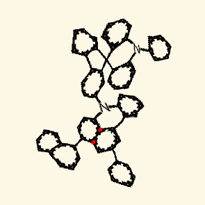 c1ccc(-c2cccc(-c3ccccc3N(c3ccc(-c4cccc5ccccc45)cc3)c3ccc4c(c3)C3(c5ccccc5-4)c4ccccc4N(c4ccccc4)c4ccccc43)c2)cc1